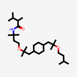 CC(C)CCOC(C)(C)CC1CCC(CC(C)(C)OCCC(C)(C)NC(=O)C(C)C(C)C)CC1